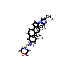 Cc1cn(C2=CCC3C4CC=C5CC(NSN6CCOCC6)CCC5(C)C4CCC23C)cn1